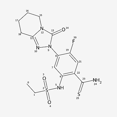 CCS(=O)(=O)Nc1cc(-n2nc3n(c2=O)CCCC3)c(F)cc1C(N)=S